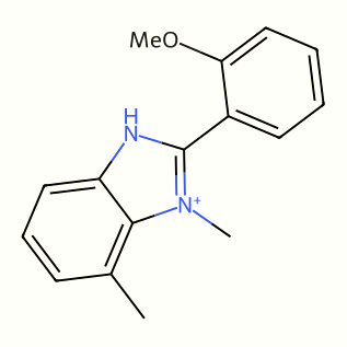 COc1ccccc1-c1[nH]c2cccc(C)c2[n+]1C